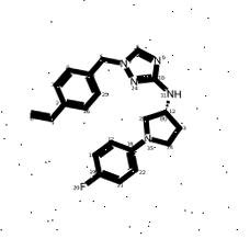 C=Cc1ccc(Cn2cnc(N[C@@H]3CCN(c4ccc(F)cc4)C3)n2)cc1